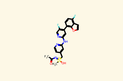 C[SH](O)(Cc1ccnc(Nc2cc(-c3ccc(F)c4ccoc34)c(F)cn2)c1)=NC(=O)C(F)(F)F